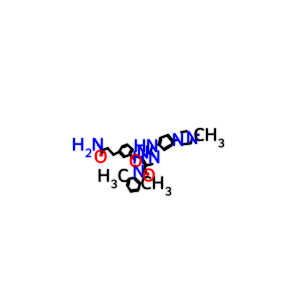 Cc1cccc(C)c1NC(=O)c1cnc(Nc2ccc(N3CCN(C)CC3)cc2)nc1Oc1cccc(CCC(N)=O)c1